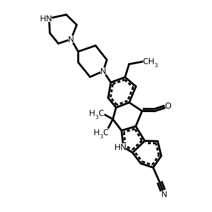 CCc1cc2c(cc1N1CCC(N3CCNCC3)CC1)C(C)(C)c1[nH]c3cc(C#N)ccc3c1C2=C=O